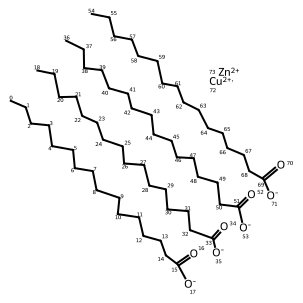 CCCCCCCCCCCCCCCC(=O)[O-].CCCCCCCCCCCCCCCC(=O)[O-].CCCCCCCCCCCCCCCC(=O)[O-].CCCCCCCCCCCCCCCC(=O)[O-].[Cu+2].[Zn+2]